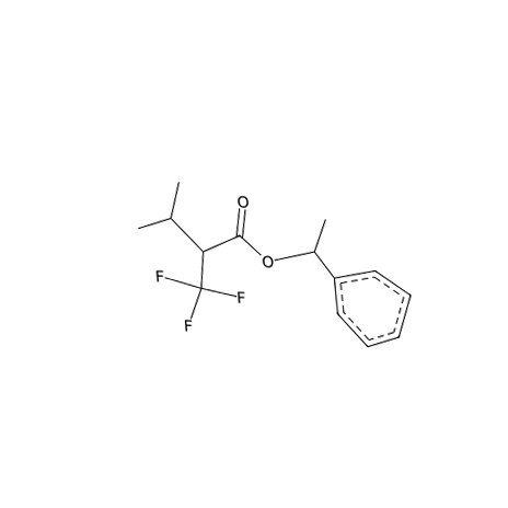 CC(OC(=O)C(C(C)C)C(F)(F)F)c1ccccc1